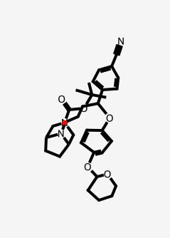 CC(C)(C)OC(=O)N1CC2CCC(C1)N2CCCC(Oc1ccc(OC2CCCCO2)cc1)c1ccc(C#N)cc1